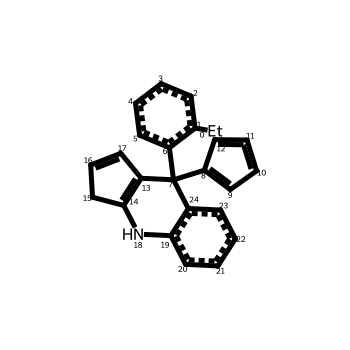 CCc1ccccc1C1(C2=CC=C=C2)C2=C(CC=C2)Nc2ccccc21